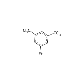 CCc1cc(C(Cl)(Cl)Cl)cc(C(Cl)(Cl)Cl)c1